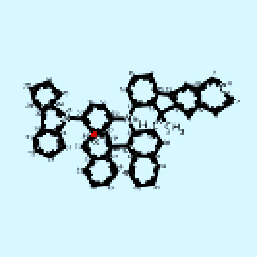 CC1(C)c2cc3ccccc3cc2-c2cccc(N(c3ccc(-n4c5ccccc5c5ccccc54)cc3)c3ccc4ccccc4c3-c3cccc4ccccc34)c21